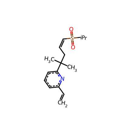 C=Cc1cccc(C(C)(C)C/C=C\S(=O)(=O)C(C)C)n1